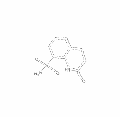 NS(=O)(=O)c1cccc2ccc(=O)[nH]c12